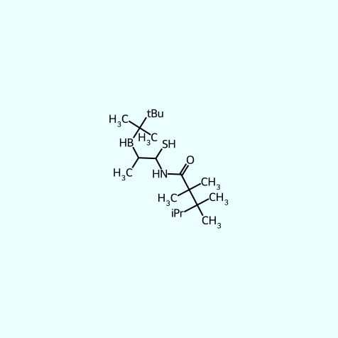 CC(BC(C)(C)C(C)(C)C)C(S)NC(=O)C(C)(C)C(C)(C)C(C)C